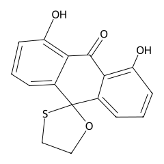 O=C1c2c(O)cccc2C2(OCCS2)c2cccc(O)c21